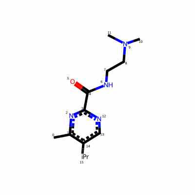 Cc1nc(C(=O)NCCN(C)C)ncc1C(C)C